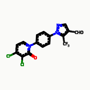 O=Cc1cnn(-c2ccc(-n3ccc(Cl)c(Cl)c3=O)cc2)c1C(F)(F)F